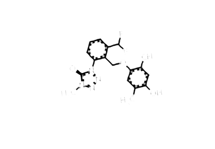 Cc1cc(OCc2c(C(F)F)cccc2-n2nnn(C)c2=O)c(C)cc1O